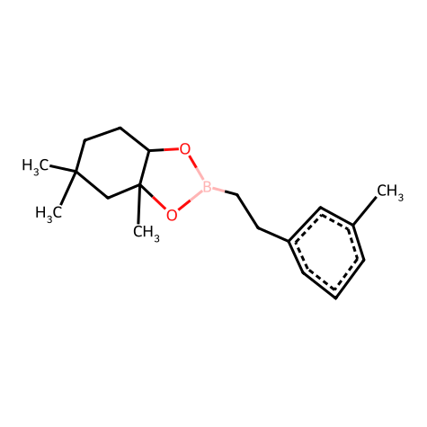 Cc1cccc(CCB2OC3CCC(C)(C)CC3(C)O2)c1